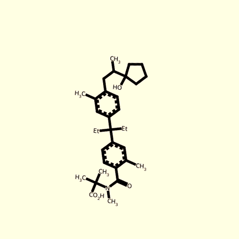 CCC(CC)(c1ccc(CC(C)C2(O)CCCC2)c(C)c1)c1ccc(C(=O)N(C)C(C)(C)C(=O)O)c(C)c1